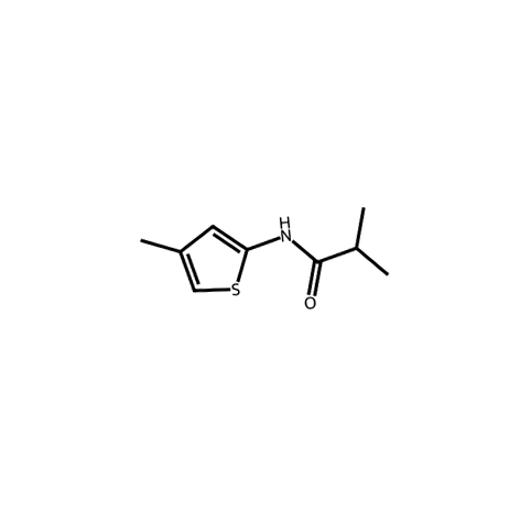 Cc1csc(NC(=O)C(C)C)c1